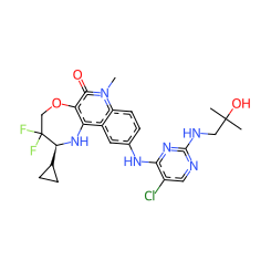 Cn1c(=O)c2c(c3cc(Nc4nc(NCC(C)(C)O)ncc4Cl)ccc31)N[C@@H](C1CC1)C(F)(F)CO2